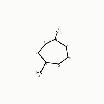 SC1CCCC(S)CC1